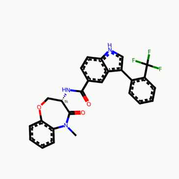 CN1C(=O)[C@@H](NC(=O)c2ccc3[nH]cc(-c4ccccc4C(F)(F)F)c3c2)COc2ccccc21